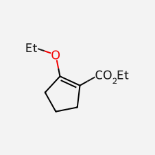 CCOC(=O)C1=C(OCC)CCC1